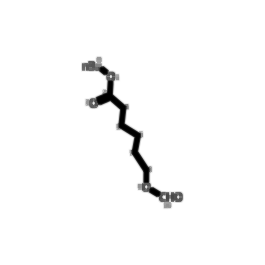 CCCCOC(=O)CCCCCOC=O